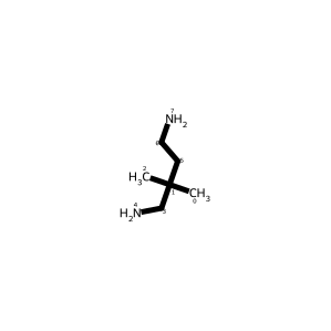 CC(C)(CN)CCN